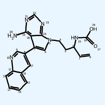 C=CC(CCn1cc(-c2cnc3ccccc3c2)c2c(N)ncnc21)NC(=O)O